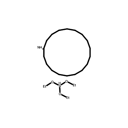 C1CCCCCCCCCCCCCCCCC1.CCO[SiH](OCC)OCC.N